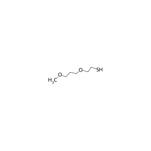 COCCCOCCS